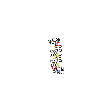 [C-]#[N+]/C(C#N)=C1/C(=C/c2cc3c(s2)-c2cc4c(cc2C3(c2ccc(C)cc2)c2ccc(C)cc2)-c2sc3c5c(sc3c2C4(c2ccc(C)cc2)c2ccc(C)cc2)-c2cc3c(cc2C5(c2ccc(C)cc2)c2ccc(C)cc2)-c2sc(/C=C4\C(=O)c5ccccc5C4=C(C#N)C#N)cc2C3(c2ccc(C)cc2)c2ccc(C)cc2)C(=O)c2ccccc21